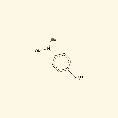 CCC(C)N(N=O)c1ccc(S(=O)(=O)O)cc1